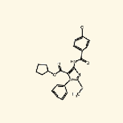 CSc1nc(NC(=O)c2ccc(Cl)cc2)c(C(=O)OC2CCCC2)n1-c1ccccc1